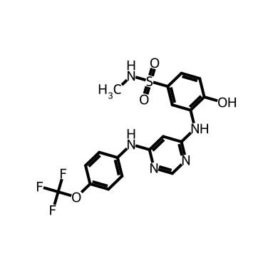 CNS(=O)(=O)c1ccc(O)c(Nc2cc(Nc3ccc(OC(F)(F)F)cc3)ncn2)c1